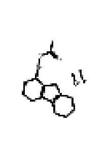 CC(=O)[O][Ti+2][CH]1CCCC2=C1CC1=C2CCCC1.C[O-].C[O-]